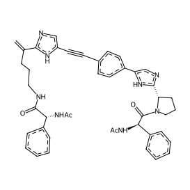 C=C(CCCNC(=O)[C@H](NC(C)=O)c1ccccc1)c1ncc(C#Cc2ccc(-c3cnc([C@@H]4CCCN4C(=O)[C@H](NC(C)=O)c4ccccc4)[nH]3)cc2)[nH]1